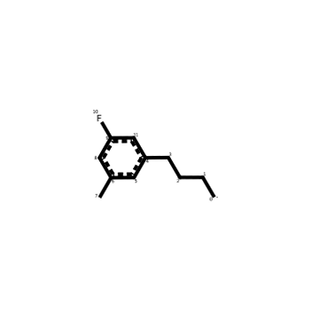 [CH2]CCCc1cc(C)cc(F)c1